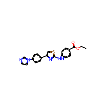 CCOC(=O)c1ccc(Nc2nc(-c3ccc(-n4ccnc4)cc3)cs2)cc1